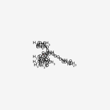 CCC(C)(CCOC(C)(C)CCOC)OCCNC(=O)CCOCC(COCCC(=O)NCCOC(C)(C)CCOC(C)(C)CCOC)(COCCC(=O)NCCOC(C)(C)CCOC(C)(C)CCOC)NC(=O)CCOCCOCCOCCOCCNC(=O)COc1ccc(C(C)=O)c(N)c1